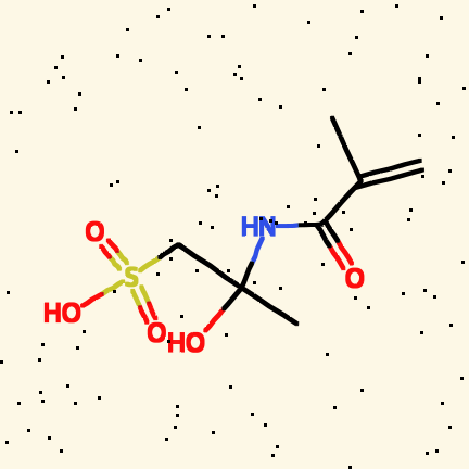 C=C(C)C(=O)NC(C)(O)CS(=O)(=O)O